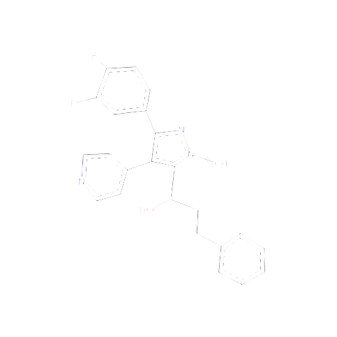 Cn1nc(-c2ccc(F)c(F)c2)c(-c2ccncc2)c1C(O)CCc1ccccc1